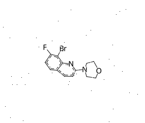 Fc1ccc2ccc(N3CCOCC3)nc2c1Br